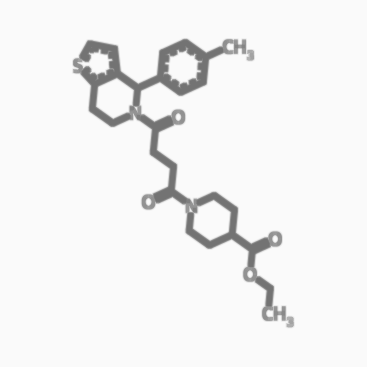 CCOC(=O)C1CCN(C(=O)CCC(=O)N2CCc3sccc3C2c2ccc(C)cc2)CC1